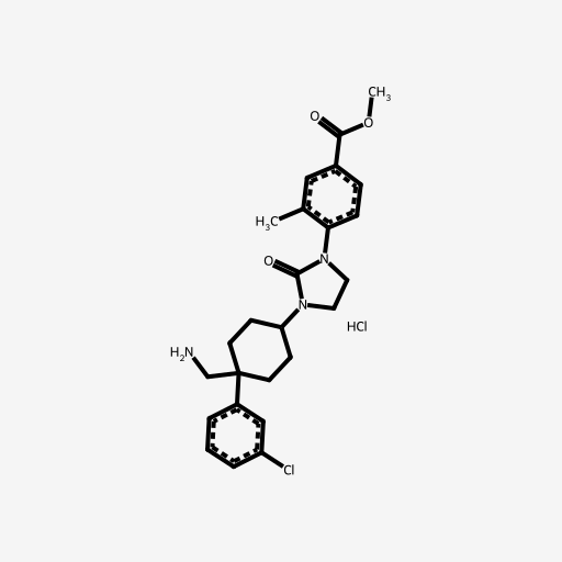 COC(=O)c1ccc(N2CCN(C3CCC(CN)(c4cccc(Cl)c4)CC3)C2=O)c(C)c1.Cl